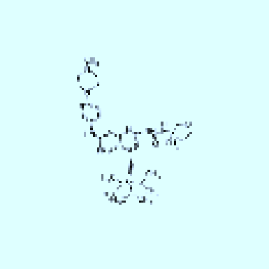 CC(C)[Si](C#Cc1cc(NC(=O)NC2(C)CCOC2)nc2nc(Nc3ccc(N4CCN(C)CC4)cc3)ncc12)(C(C)C)C(C)C